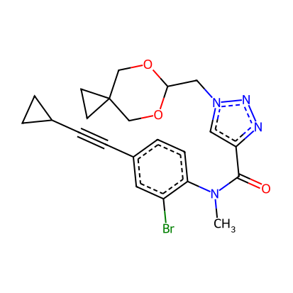 CN(C(=O)c1cn(CC2OCC3(CC3)CO2)nn1)c1ccc(C#CC2CC2)cc1Br